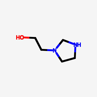 OCCN1CCNC1